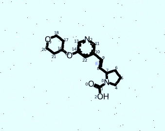 O=C(O)N1CCCC1/C=C/c1cncc(OC2CCOCC2)c1